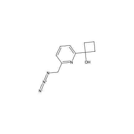 [N-]=[N+]=NCc1cccc(C2(O)CCC2)n1